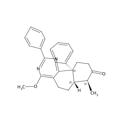 COc1nc(-c2ccccc2)nc2c1CC[C@H]1[C@H](C)C(=O)CC[C@]21c1ccccc1